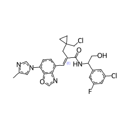 Cc1cn(-c2ccc(/C=C(\CC3(CCl)CC3)C(=O)NC(CO)c3cc(F)cc(Cl)c3)c3ncoc23)cn1